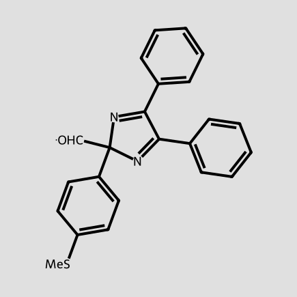 CSc1ccc(C2([C]=O)N=C(c3ccccc3)C(c3ccccc3)=N2)cc1